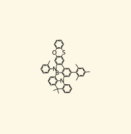 Cc1cc(C)c(-c2cc3c4c(c2)N2c5ccccc5C(C)(C)c5cccc(c52)B4N(c2ccccc2C)c2cc4c(cc2-3)Sc2ccccc2O4)c(C)c1